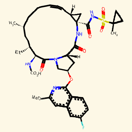 CC[C@@H]1C[C@H](C)CC/C=C\[C@@H]2C[C@@]2(C(=O)NS(=O)(=O)C2(C)CC2)NC(=O)[C@@H]2C[C@@H](Oc3nc(OC)cc4cc(F)ccc34)CN2C(=O)[C@H]1NC(=O)O